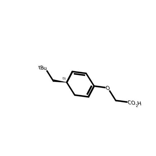 CC(C)(C)C[C@H]1C=CC(OCC(=O)O)=CC1